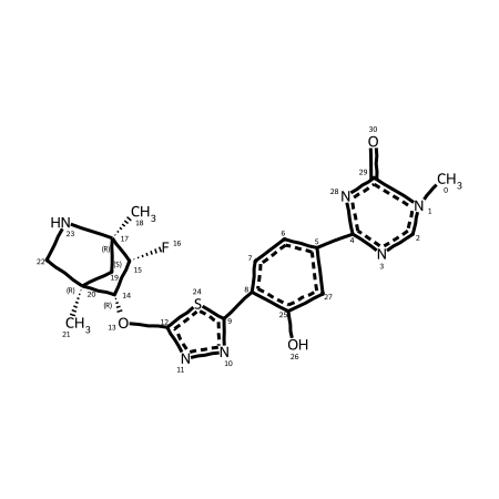 Cn1cnc(-c2ccc(-c3nnc(O[C@H]4[C@@H](F)[C@@]5(C)C[C@]4(C)CN5)s3)c(O)c2)nc1=O